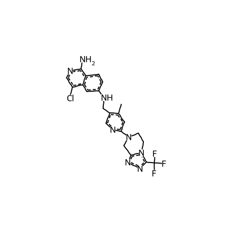 Cc1cc(N2CCn3c(nnc3C(F)(F)F)C2)ncc1CNc1ccc2c(N)ncc(Cl)c2c1